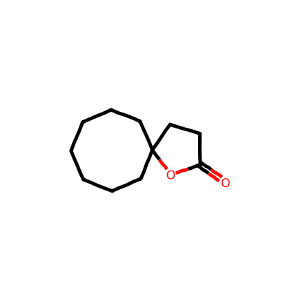 O=C1CCC2(CCCCCCC2)O1